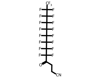 N#CCCC(=O)C(F)(F)C(F)(F)C(F)(F)C(F)(F)C(F)(F)C(F)(F)C(F)(F)C(F)(F)C(F)(F)F